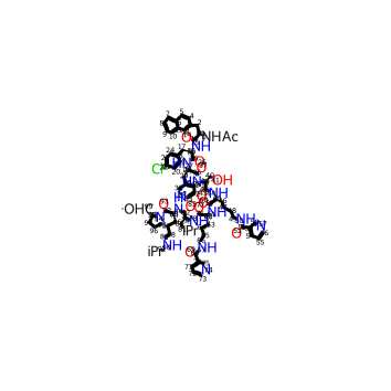 CC(=O)N[C@H](Cc1ccc2ccccc2c1)C(=O)N[C@H](Cc1ccc(Cl)cc1)C(=O)N[C@H](Cc1cccnc1)C(=O)N[C@@H](CO)C(=O)N[C@@H](CCCCNC(=O)c1cccnc1)C(=O)N[C@H](CCCCNC(=O)c1cccnc1)C(=O)N[C@@H](CC(C)C)C(=O)N[C@@H](CCCCNC(C)C)C(=O)N1CCC[C@H]1[C]=O